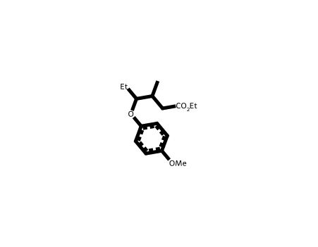 CCOC(=O)CC(C)C(CC)Oc1ccc(OC)cc1